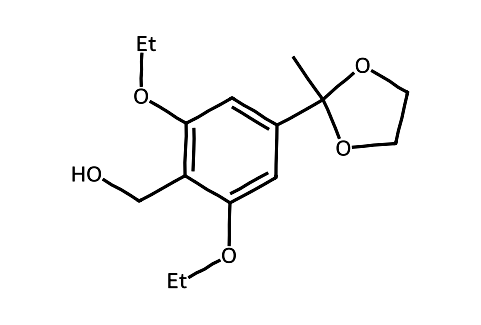 CCOc1cc(C2(C)OCCO2)cc(OCC)c1CO